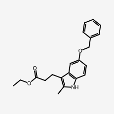 CCOC(=O)CCc1c(C)[nH]c2ccc(OCc3ccccc3)cc12